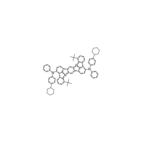 CC(C)(C)c1cccc2c3c(N(c4ccccc4)c4ccc(C5CCCCC5)cc4)ccc4c5cc6c(cc5n(c12)c43)c1ccc(N(c2ccccc2)c2ccc(C3CCCCC3)cc2)c2c3cccc(C(C)(C)C)c3n6c12